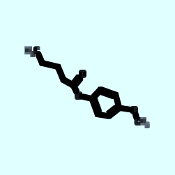 CCCCC(=O)Oc1ccc(OC)cc1